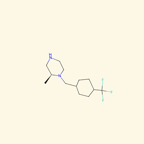 C[C@H]1CNCCN1CC1CCC(C(F)(F)F)CC1